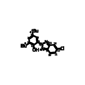 CCC(C)c1cc(C(C)(C)C)cc(-n2nc3ccc(Cl)cc3n2)c1O